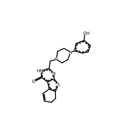 O=c1[nH]c(CN2CCN(c3cccc(O)c3)CC2)nc2sc3c(c12)C=CCC3